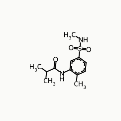 CNS(=O)(=O)c1ccc(C)c(NC(=O)C(C)C)c1